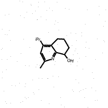 Cc1cc(C(C)C)c2c(n1)C(O)CCC2